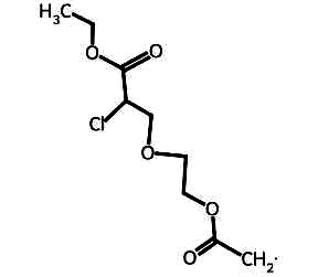 [CH2]C(=O)OCCOCC(Cl)C(=O)OCC